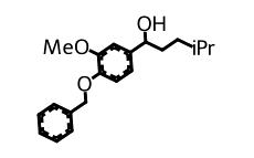 COc1cc(C(O)CCC(C)C)ccc1OCc1ccccc1